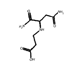 NC(=O)CC(NCCC(=O)O)C(N)=O